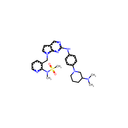 CN(C)C1CCCN(c2ccc(Nc3ncc4ccn(Cc5cccnc5N(C)S(C)(=O)=O)c4n3)cc2)C1